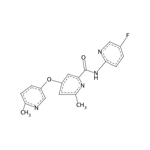 Cc1ccc(Oc2cc(C)nc(C(=O)Nc3ccc(F)cn3)c2)cn1